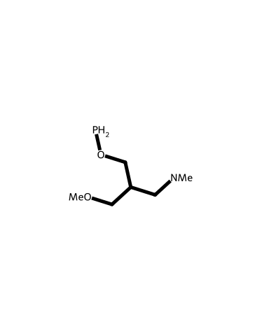 CNCC(COC)COP